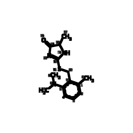 Cc1cccc(N(C)C)c1CSC1=NC(=O)C(C)N1